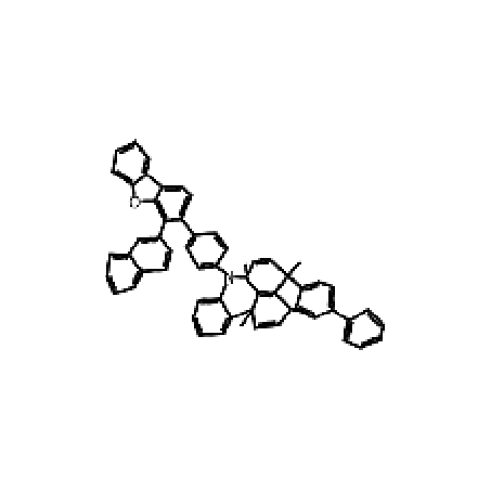 CC1C=CC2(C)C3=C1C(C)(c1ccc(-c4ccccc4)cc1)C=CC3(C)N(c1ccc(-c3ccc4c(oc5ccccc54)c3-c3ccc4ccccc4c3)cc1)c1ccccc12